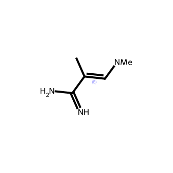 CN/C=C(\C)C(=N)N